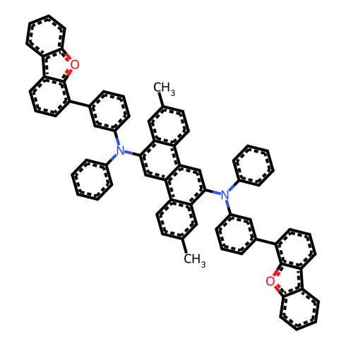 Cc1ccc2c(c1)c(N(c1ccccc1)c1cccc(-c3cccc4c3oc3ccccc34)c1)cc1c3ccc(C)cc3c(N(c3ccccc3)c3cccc(-c4cccc5c4oc4ccccc45)c3)cc21